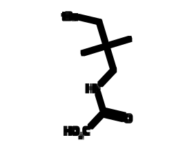 CC(C)(C)CC(C)(C)CNC(=O)C(=O)O